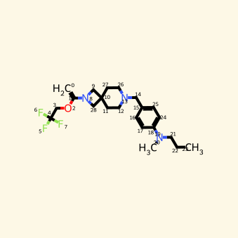 C=C(OCC(F)(F)F)N1CC2(CCN(Cc3ccc(N(C)CCC)cc3)CC2)C1